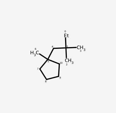 CCC(C)(C)CC1(C)CCCC1